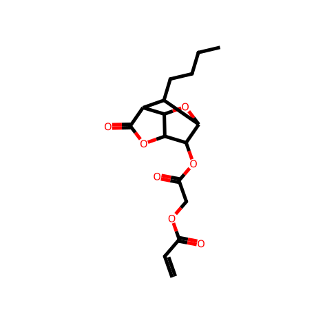 C=CC(=O)OCC(=O)OC1C2OC3C1OC(=O)C3C2CCCC